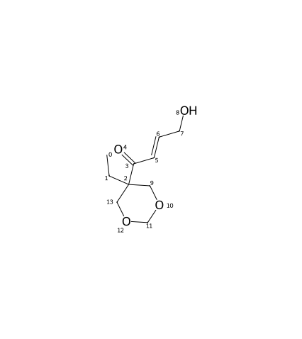 CCC1(C(=O)C=CCO)COCOC1